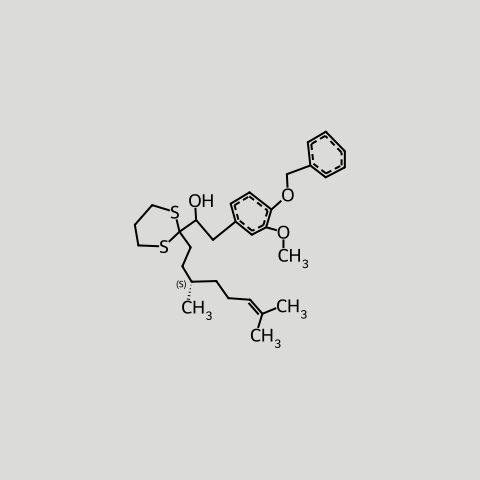 COc1cc(CC(O)C2(CC[C@@H](C)CCC=C(C)C)SCCCS2)ccc1OCc1ccccc1